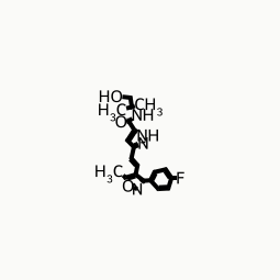 Cc1onc(-c2ccc(F)cc2)c1/C=C/c1cc(C(=O)NC(C)(C)CO)[nH]n1